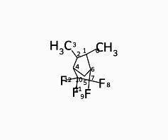 CC1C(C)C2CC1C(F)(F)C2(F)F